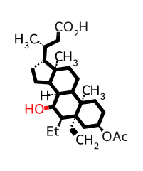 C=C[C@@]12C[C@H](OC(C)=O)CC[C@]1(C)C1CC[C@@]3(C)C(CC[C@@H]3[C@H](C)CC(=O)O)[C@@H]1C(O)[C@@H]2CC